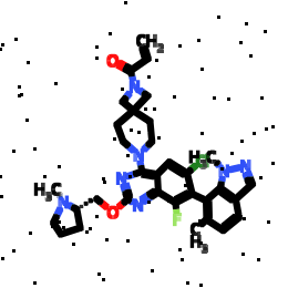 C=CC(=O)N1CC2(CCN(c3nc(OC[C@@H]4CCCN4C)nc4c(F)c(-c5c(C)ccc6cnn(C)c56)c(Cl)cc34)CC2)C1